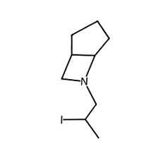 CC(I)CN1CC2CCCC21